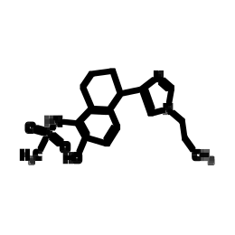 CCCn1cnc(C2CCCc3c2ccc(O)c3NS(C)(=O)=O)c1